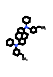 CCc1cccc(N(c2ccccc2)c2ccc3ccc4c(N(c5ccccc5)c5cccc(CC)c5)ccc5ccc2c3c54)c1